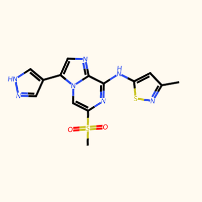 Cc1cc(Nc2nc(S(C)(=O)=O)cn3c(-c4cn[nH]c4)cnc23)sn1